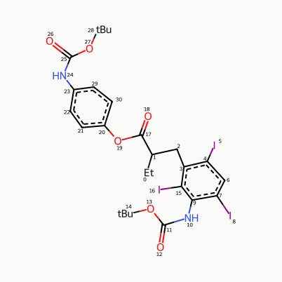 CCC(Cc1c(I)cc(I)c(NC(=O)OC(C)(C)C)c1I)C(=O)Oc1ccc(NC(=O)OC(C)(C)C)cc1